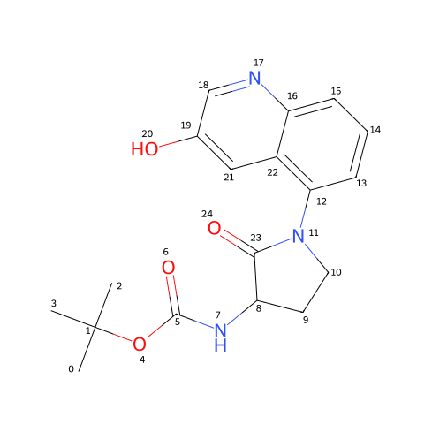 CC(C)(C)OC(=O)NC1CCN(c2cccc3ncc(O)cc23)C1=O